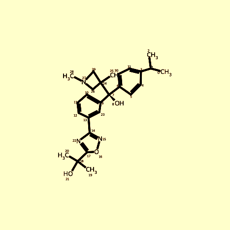 CC(C)c1ccc([C@](O)(c2cccc(-c3noc(C(C)(C)O)n3)c2)C2(C)CN(C)C2)cc1